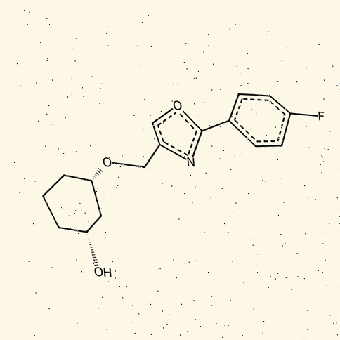 O[C@@H]1CCC[C@H](OCc2coc(-c3ccc(F)cc3)n2)C1